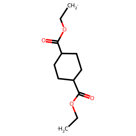 [CH2]COC(=O)C1CCC(C(=O)OC[CH2])CC1